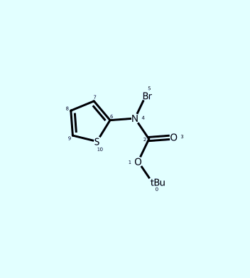 CC(C)(C)OC(=O)N(Br)c1cccs1